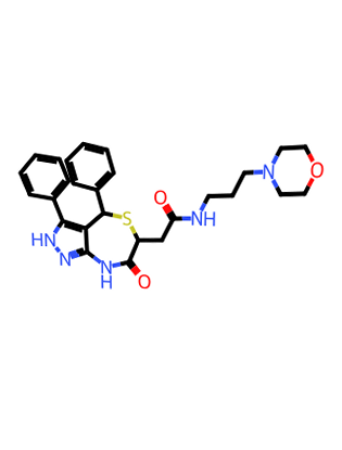 O=C(CC1SC(c2ccccc2)c2c(n[nH]c2-c2ccccc2)NC1=O)NCCCN1CCOCC1